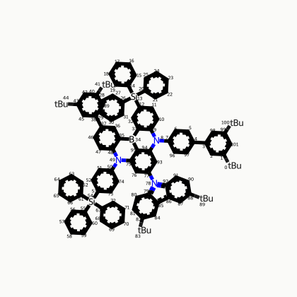 CC(C)(C)c1cc(-c2ccc(N3c4ccc([Si](c5ccccc5)(c5ccccc5)c5ccccc5)cc4B4c5cc(-c6cc(C(C)(C)C)cc(C(C)(C)C)c6)ccc5N(c5ccc([Si](c6ccccc6)(c6ccccc6)c6ccccc6)cc5)c5cc(-n6c7ccc(C(C)(C)C)cc7c7cc(C(C)(C)C)ccc76)cc3c54)cc2)cc(C(C)(C)C)c1